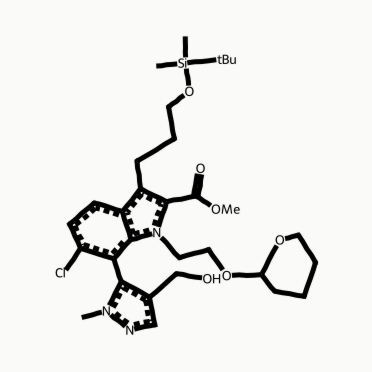 COC(=O)c1c(CCCO[Si](C)(C)C(C)(C)C)c2ccc(Cl)c(-c3c(CO)cnn3C)c2n1CCOC1CCCCO1